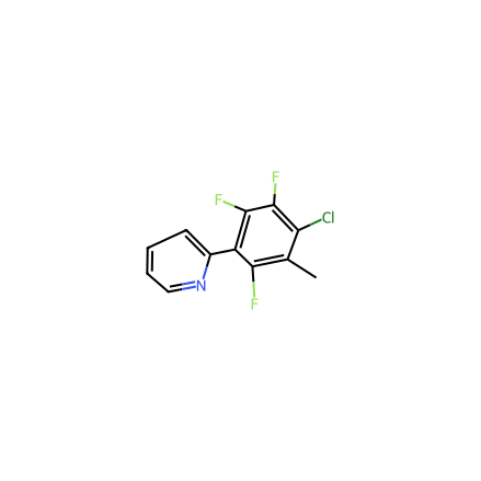 Cc1c(F)c(-c2ccccn2)c(F)c(F)c1Cl